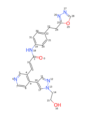 O=C(C=Cc1cnccc1-c1cnn(CCO)c1)Nc1ccc(CCc2nnco2)cc1